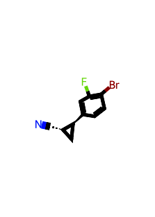 N#C[C@H]1C[C@@H]1c1ccc(Br)c(F)c1